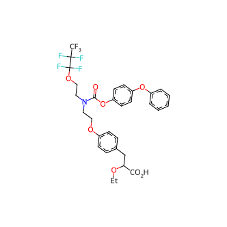 CCOC(Cc1ccc(OCCN(CCOC(F)(F)C(F)(F)C(F)(F)F)C(=O)Oc2ccc(Oc3ccccc3)cc2)cc1)C(=O)O